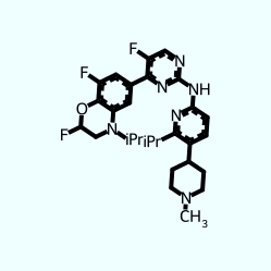 CC(C)c1nc(Nc2ncc(F)c(-c3cc(F)c4c(c3)N(C(C)C)CC(F)O4)n2)ccc1C1CCN(C)CC1